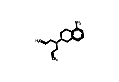 C=CCN(CC=C)C1CCc2c(N)cccc2C1